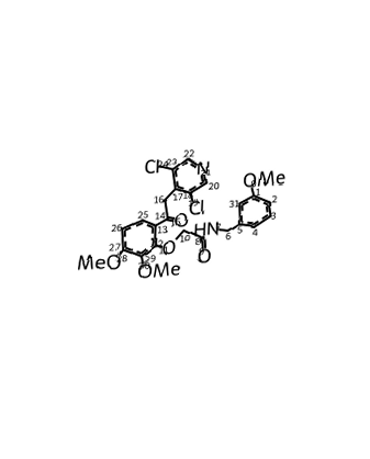 COc1cccc(CNC(=O)COc2c(C(=O)Cc3c(Cl)cncc3Cl)ccc(OC)c2OC)c1